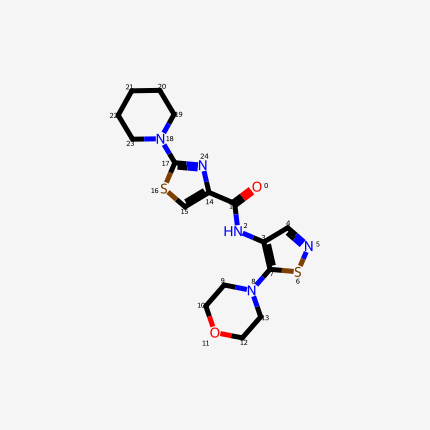 O=C(Nc1cnsc1N1CCOCC1)c1csc(N2CCCCC2)n1